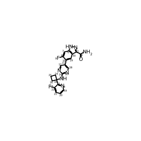 NC(=O)c1n[nH]c2cc(F)c(-c3cnc(NC4(c5ncccc5F)CCC4)nc3)cc12